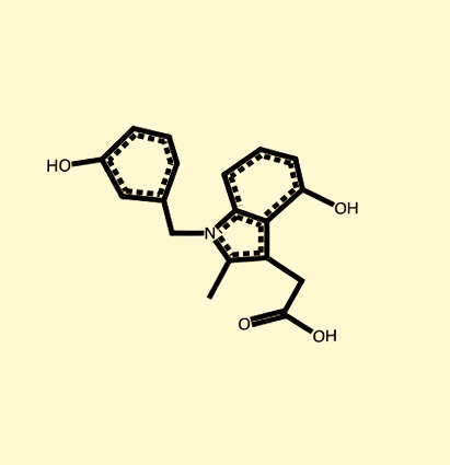 Cc1c(CC(=O)O)c2c(O)cccc2n1Cc1cccc(O)c1